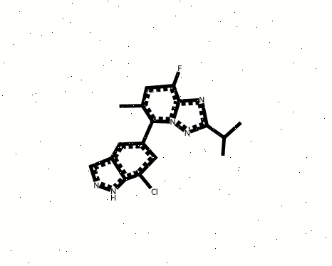 Cc1cc(F)c2nc(C(C)C)nn2c1-c1cc(Cl)c2[nH]ncc2c1